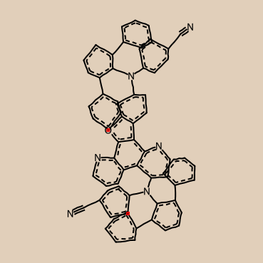 N#Cc1ccc(N(c2ccc3c(c2)oc2c4ncccc4c4c(N(c5ccc(C#N)cc5)c5c(-c6ccccc6)cccc5-c5ccccc5)ccnc4c32)c2c(-c3ccccc3)cccc2-c2ccccc2)cc1